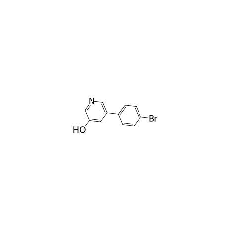 Oc1cncc(-c2ccc(Br)cc2)c1